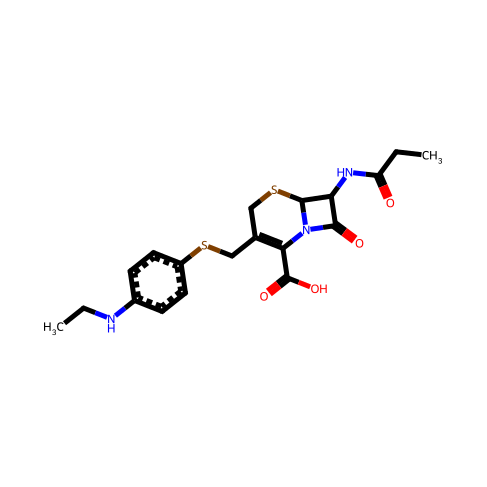 CCNc1ccc(SCC2=C(C(=O)O)N3C(=O)C(NC(=O)CC)C3SC2)cc1